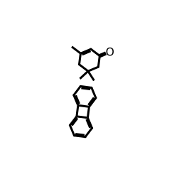 CC1=CC(=O)CC(C)(C)C1.c1ccc2c(c1)-c1ccccc1-2